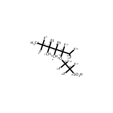 CCC(C)(C(C)(F)F)C(C)(CC)C(F)(OC(F)(F)C(F)(F)S(=O)(=O)O)C(F)F